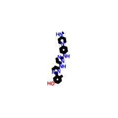 CNC1CCN(c2ccc(Nc3nccc(Nc4ccnc(-c5cc(O)ccc5C)n4)n3)cc2)CC1